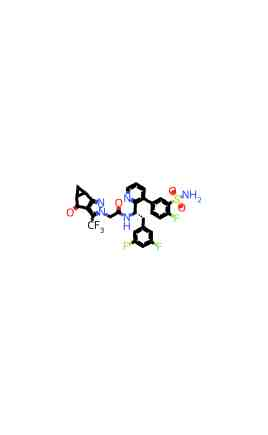 NS(=O)(=O)c1cc(-c2cccnc2[C@H](Cc2cc(F)cc(F)c2)NC(=O)Cn2nc3c(c2C(F)(F)F)C(=O)C2CC32)ccc1F